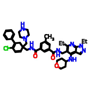 CCc1nc2c(cnn2CC)c(NC2CCOCC2)c1CNC(=O)c1cc(C)cc(C(=O)NCC2(CN3CCNCC3)C=CC(Cl)=C(c3ccccc3)C2)c1